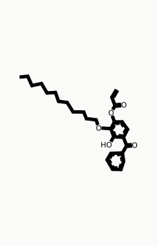 C=CC(=O)Oc1ccc(C(=O)c2ccccc2)c(O)c1OCCCCCCCCCCCC